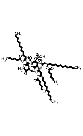 CCCCCCCCCCC[C@H](CC(=O)N[C@H]1[C@@H](OC[C@H](NC(=O)C[C@@H](CCCCCCCCCCC)OC(=O)CCCCC)C(N)=O)O[C@H](CO)[C@@H](OP(=O)(O)O)[C@@H]1OC(=O)C[C@@H](CCCCCCCCCCC)OC(=O)CCCCC)OC(=O)CCCCC